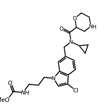 COC(=O)NCCCn1cc(Cl)c2ccc(CN(C(=O)C3CNCCO3)C3CC3)cc21